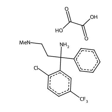 CNCCC(N)(c1ccccc1)c1cc(C(F)(F)F)ccc1Cl.O=C(O)C(=O)O